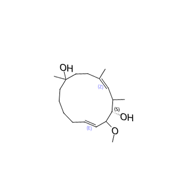 COC1/C=C/CCCCC(C)(O)CC/C(C)=C\C(C)[C@@H]1O